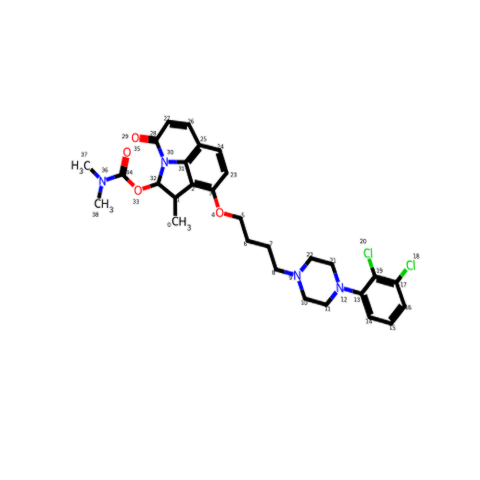 CC1c2c(OCCCCN3CCN(c4cccc(Cl)c4Cl)CC3)ccc3ccc(=O)n(c23)C1OC(=O)N(C)C